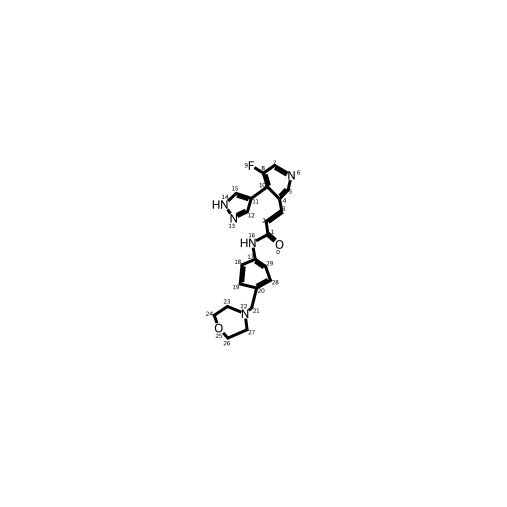 O=C(/C=C/c1cncc(F)c1-c1cn[nH]c1)Nc1ccc(CN2CCOCC2)cc1